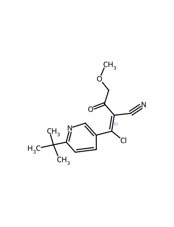 COCC(=O)/C(C#N)=C(/Cl)c1ccc(C(C)(C)C)nc1